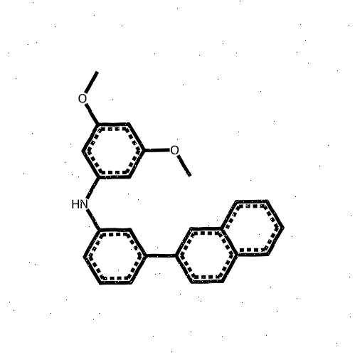 COc1cc(Nc2cccc(-c3ccc4ccccc4c3)c2)cc(OC)c1